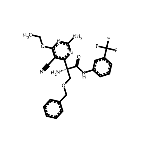 CCOc1nc(N)nc([C@](N)(COCc2ccccc2)C(=O)Nc2cccc(C(F)(F)F)c2)c1C#N